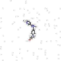 CCn1nc(-c2ccc(C(F)(F)F)nc2)nc1C1CCC(N2CCC3(C2)C[S+]([O-])C3)CC1